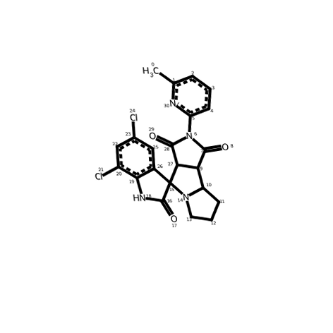 Cc1cccc(N2C(=O)C3C4CCCN4C4(C(=O)Nc5c(Cl)cc(Cl)cc54)C3C2=O)n1